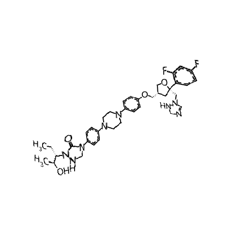 CC[C@@H]([C@H](C)O)N1NCN(c2ccc(N3CCN(c4ccc(OC[C@@H]5CO[C@@](CN6C=NCN6)(c6ccc(F)cc6F)C5)cc4)CC3)cc2)C1=O